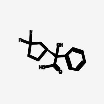 O=C(O)C(O)(c1ccccc1)[C@@H]1CCC(F)(F)C1